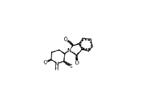 O=C1CCC(N2C(=O)c3ccccc3C2=O)C(=S)N1